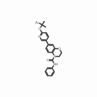 CC(=O)C(C)(C)Oc1ccc(-c2ccc3c(c2)OCCN3C(=O)Nc2ccccc2)cn1